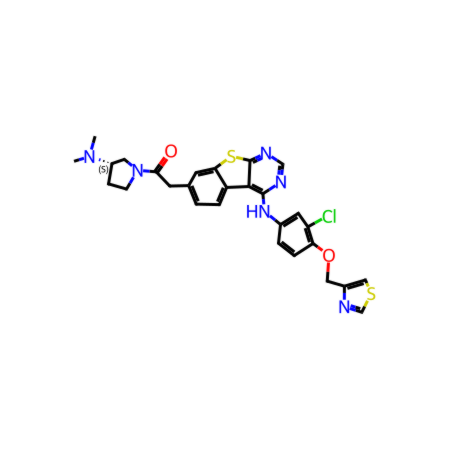 CN(C)[C@H]1CCN(C(=O)Cc2ccc3c(c2)sc2ncnc(Nc4ccc(OCc5cscn5)c(Cl)c4)c23)C1